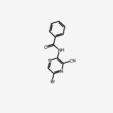 N#Cc1nc(Br)cnc1NC(=O)c1ccccc1